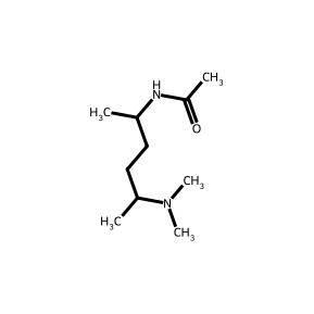 CC(=O)NC(C)CCC(C)N(C)C